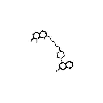 O=c1ccc2ccc(OCCCCN3CCN(c4cc(F)cc5ccccc45)CC3)nc2[nH]1